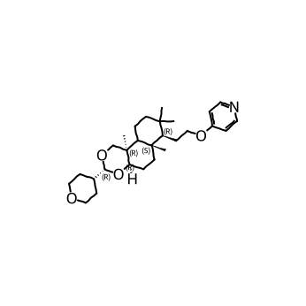 CC1(C)CCC2[C@]3(C)CO[C@@H](C4CCOCC4)O[C@@H]3CC[C@@]2(C)[C@@H]1CCOc1ccncc1